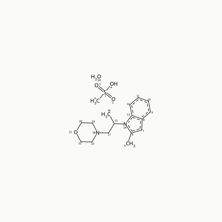 CS(=O)(=O)O.Cc1cc2ccccc2n1C(C)CN1CCOCC1.O